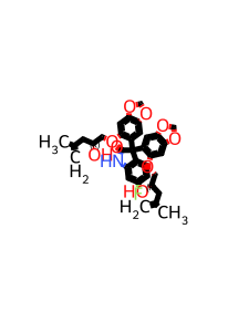 C=C(C)C[C@@H](O)COc1cc2c(cc1C1(c3cc4c(cc3OC[C@H](O)CC(=C)C)OCO4)C(=O)Nc3cc(F)ccc31)OCO2